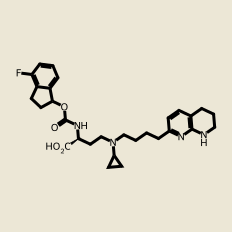 O=C(N[C@@H](CCN(CCCCc1ccc2c(n1)NCCC2)C1CC1)C(=O)O)OC1CCc2c(F)cccc21